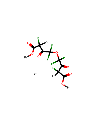 CCC(F)(C(=O)OC(C)C)C(=O)C(F)(F)OC(F)(F)C(=O)C(F)(CC)C(=O)OC(C)C.[Zr]